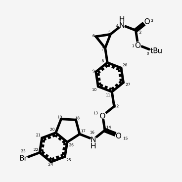 CC(C)(C)OC(=O)NC1CC1c1ccc(COC(=O)NC2CCc3cc(Br)ccc32)cc1